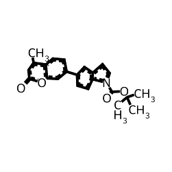 Cc1cc(=O)oc2cc(-c3ccc4c(ccn4C(=O)OC(C)(C)C)c3)ccc12